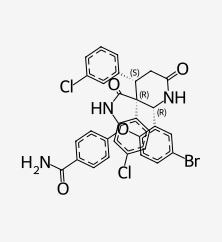 NC(=O)c1ccc(Oc2ccc(Br)cc2[C@H]2NC(=O)C[C@@H](c3cccc(Cl)c3)[C@]23C(=O)Nc2cc(Cl)ccc23)cc1